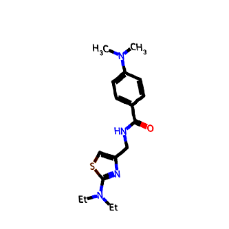 CCN(CC)c1nc(CNC(=O)c2ccc(N(C)C)cc2)cs1